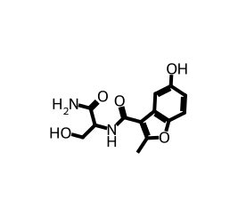 Cc1oc2ccc(O)cc2c1C(=O)NC(CO)C(N)=O